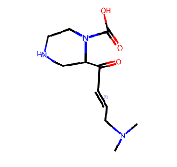 CN(C)C/C=C/C(=O)C1CNCCN1C(=O)O